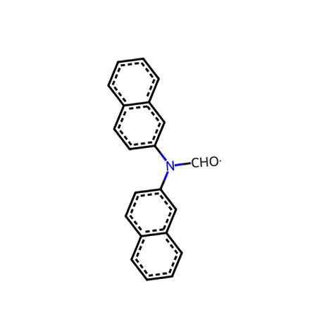 O=[C]N(c1ccc2ccccc2c1)c1ccc2ccccc2c1